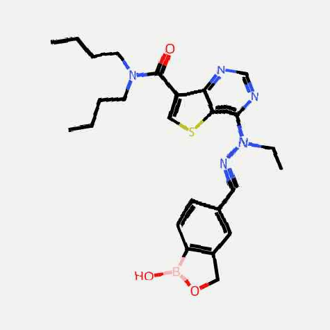 CCCCN(CCCC)C(=O)c1csc2c(N(CC)/N=C/c3ccc4c(c3)COB4O)ncnc12